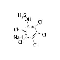 Oc1c(Cl)c(Cl)c(Cl)c(Cl)c1Cl.S.[NaH]